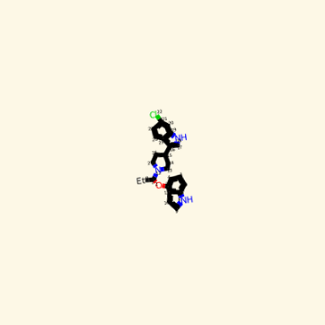 CCC(Oc1cccc2[nH]ccc12)N1CCC(c2c[nH]c3cc(Cl)ccc23)CC1